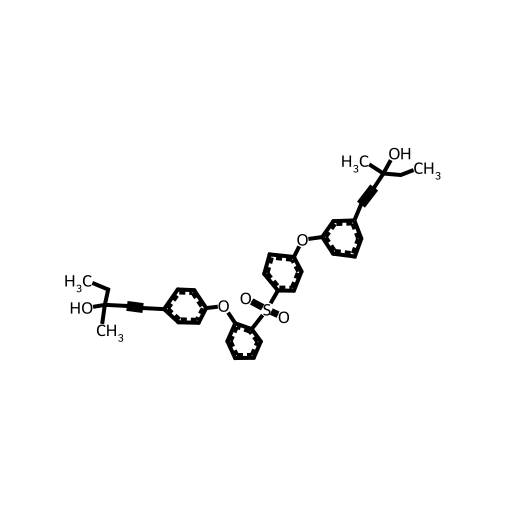 CCC(C)(O)C#Cc1ccc(Oc2ccccc2S(=O)(=O)c2ccc(Oc3cccc(C#CC(C)(O)CC)c3)cc2)cc1